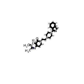 C=N/C(C)=N\C1=C(C)C(=O)N(CCN2CCN(c3nsc4ccccc34)CC2)CC1